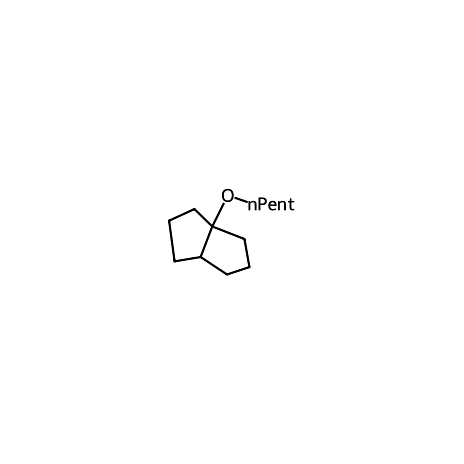 CCCCCOC12CCCC1CCC2